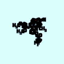 COc1ccc(CN(Cc2ccccc2)c2nc(-n3c(C)cc4c(C#N)cccc43)nc3c2CCCC3OCC(=O)N2CCC(F)(F)C2)c(OC)c1